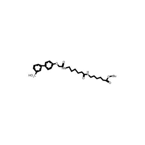 CC(C)(C)OC(=O)CCCCCNC(=O)CCCCCNC(=O)COc1ccc(-c2cccc(C(=O)O)c2)cc1